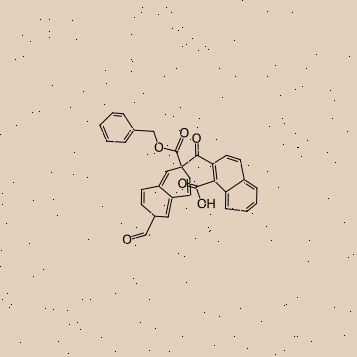 O=[C]C1C=CC2=CC(C(=O)OCc3ccccc3)(C(=O)c3ccc4ccccc4c3C(=O)O)C=CC2=C1